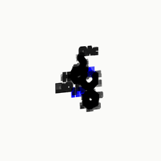 CCOC(=O)C12C[C@@H]3CC(CCOC(C)=O)C1N(CCc1c2[nH]c2ccccc12)C3